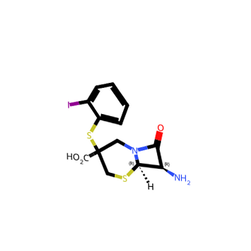 N[C@@H]1C(=O)N2CC(Sc3ccccc3I)(C(=O)O)CS[C@H]12